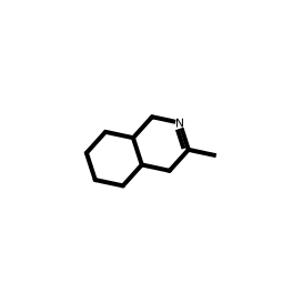 CC1=NCC2CCCCC2C1